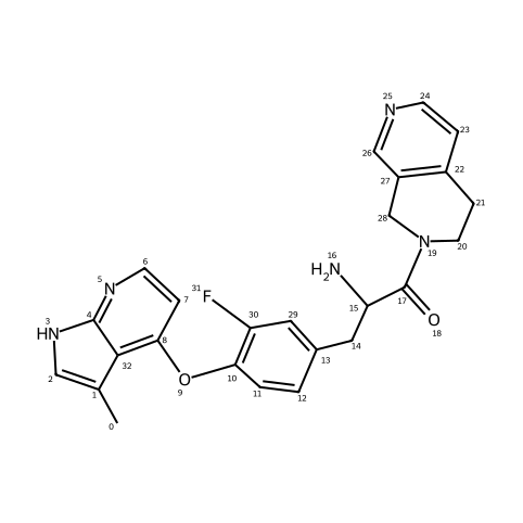 Cc1c[nH]c2nccc(Oc3ccc(CC(N)C(=O)N4CCc5ccncc5C4)cc3F)c12